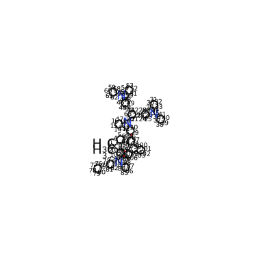 CC1(C)c2ccc(-c3cccc4c3c3ccccc3n4-c3cc(-c4ccc5c(c4)c4ccccc4n5-c4ccccc4)cc(-c4ccc5c(c4)c4ccccc4n5-c4ccccc4)c3)cc2-c2ccc(N(c3ccc(-c4ccccc4)cc3)c3ccccc3-c3ccc4c5ccccc5c5ccccc5c4c3)cc21